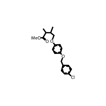 COC(=O)C(C)C(C)COc1ccc(OCc2ccc(Cl)cc2)cc1